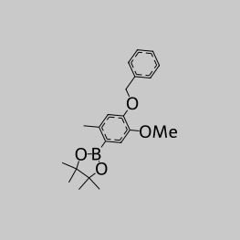 COc1cc(B2OC(C)(C)C(C)(C)O2)c(C)cc1OCc1ccccc1